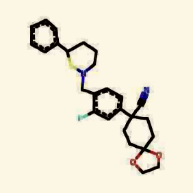 N#CC1(c2ccc(CN3CCCC(c4ccccc4)S3)c(F)c2)CCC2(CC1)OCCO2